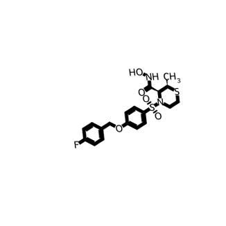 C[C@@H]1SCCN(S(=O)(=O)c2ccc(OCc3ccc(F)cc3)cc2)[C@H]1C(=O)NO